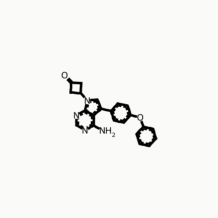 Nc1ncnc2c1c(-c1ccc(Oc3ccccc3)cc1)cn2C1CC(=O)C1